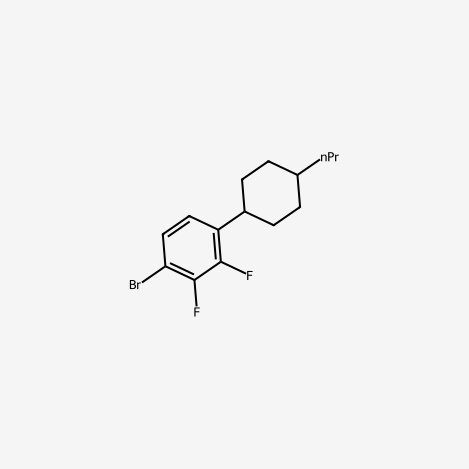 CCCC1CCC(c2ccc(Br)c(F)c2F)CC1